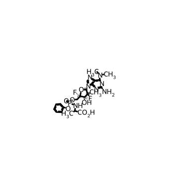 CC(NP(=O)(OC[C@@]1(F)O[C@@H](n2cnc3c(N(C)C)nc(N)nc32)[C@](C)(F)[C@@H]1O)Oc1ccccc1)C(=O)O